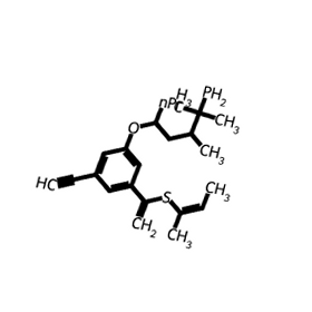 C#Cc1cc(OC(CCC)CC(C)C(C)(C)P)cc(C(=C)S/C(C)=C\C)c1